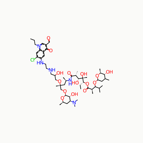 CCCn1cc(C=O)c(=O)c2cc(NCCNCC(O)CO[C@@](C)(CO[C@@H]3O[C@H](C)C[C@H](N(C)C)[C@H]3O)C[C@@H](C)NC(=O)[C@H](C)[C@@H](O)[C@](C)(O)[C@@H](CC)OC(=O)[C@H](C)C(OC3CC(C)[C@@H](O)[C@H](C)O3)C(C)C)c(Cl)cc21